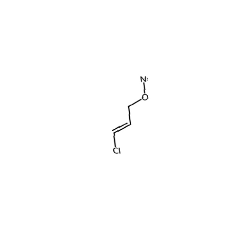 [N]OCC=CCl